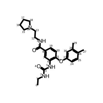 CCNC(=O)Nc1cc(C(=O)NCCN2CCCC2)ccc1Oc1ccc(C)c(C)c1